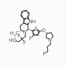 C[C@@H]1Cc2c([nH]c3ccccc23)[C@@H](c2sc(O[C@@H]3CCN(CCCF)C3)cc2F)N1CC(F)(F)CO